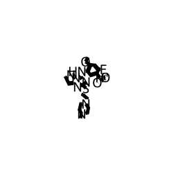 COc1cc(F)c([N+](=O)[O-])cc1Nc1nc(SCCN2CCN(C)CC2)nc2ccnn12